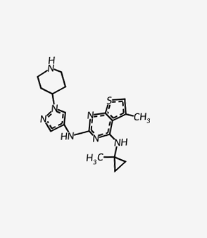 Cc1csc2nc(Nc3cnn(C4CCNCC4)c3)nc(NC3(C)CC3)c12